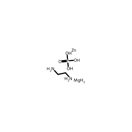 NCCN.O=P(O)(O)O.[MgH2].[Zn]